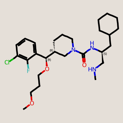 CNC[C@H](CC1CCCCC1)NC(=O)N1CCC[C@@H]([C@@H](OCCCOC)c2cccc(Cl)c2F)C1